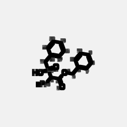 CCCC(C(=O)OCc1ccccc1)P(=O)(O)Cc1ccccc1